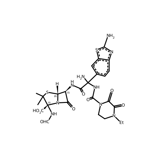 CCN1CCN(C(=O)NC(N)(C(=O)N[C@H]2C(=O)N3[C@@H]2SC(C)(C)[C@]3(NC=O)C(=O)O)c2ccc3nc(N)sc3c2)C(=O)C1=O